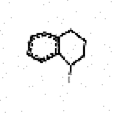 I[C]1CCCc2ccccc21